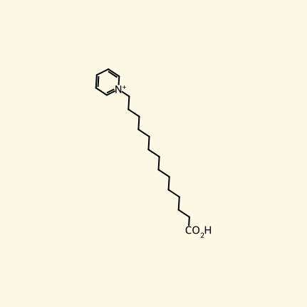 O=C(O)CCCCCCCCCCCCC[n+]1ccccc1